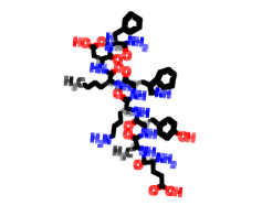 CCCC[C@H](NC(=O)[C@H](Cc1c[nH]c2ccccc12)NC(=O)[C@@H](CCCCN)NC(=O)[C@H](Cc1ccc(O)cc1)NC(=O)[C@H](C)NC(=O)[C@H](N)CCC(=O)O)C(=O)N[C@@H](CC(=O)O)C(=O)N[C@@H](Cc1ccccc1)C(N)=O